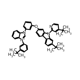 CC(C)(C)c1cccc(-[n+]2cn(-c3cccc(Oc4ccc5c6ccc(C(C)(C)C)cc6n(-c6cc(C(C)(C)C)ccn6)c5c4)c3)c3ccccc32)c1